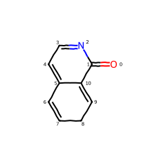 O=C1N=CC=C2C=CCC=C12